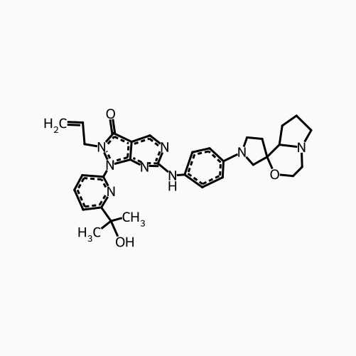 C=CCn1c(=O)c2cnc(Nc3ccc(N4CCC5(C4)OCCN4CCCC45)cc3)nc2n1-c1cccc(C(C)(C)O)n1